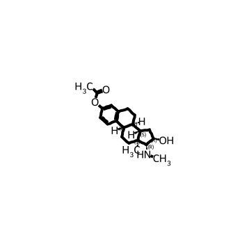 CN[C@H]1[C@H](O)C[C@H]2[C@@H]3CCc4cc(OC(C)=O)ccc4[C@H]3CC[C@@]21C